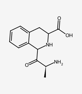 C[C@H](N)C(=O)C1NC(C(=O)O)Cc2ccccc21